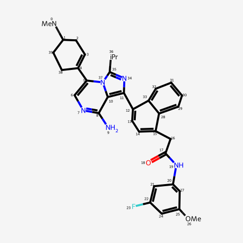 CNC1CC=C(c2cnc(N)c3c(-c4ccc(CC(=O)Nc5cc(F)cc(OC)c5)c5ccccc45)nc(C(C)C)n23)CC1